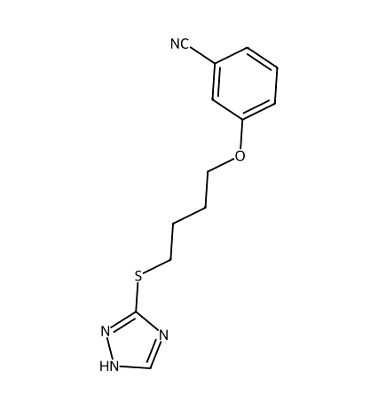 N#Cc1cccc(OCCCCSc2nc[nH]n2)c1